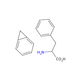 NC(Cc1ccccc1)C(=O)O.c1ccc2c(c1)C2